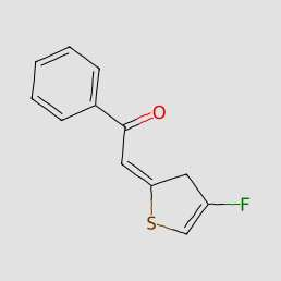 O=C(C=C1CC(F)=CS1)c1ccccc1